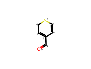 O=[C]C1=CCSC=C1